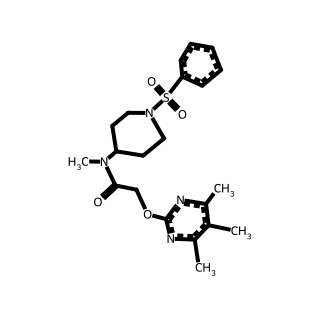 Cc1nc(OCC(=O)N(C)C2CCN(S(=O)(=O)c3ccccc3)CC2)nc(C)c1C